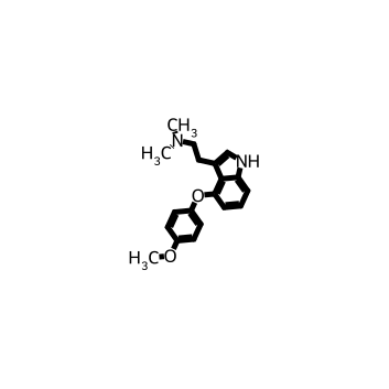 COc1ccc(Oc2cccc3[nH]cc(CCN(C)C)c23)cc1